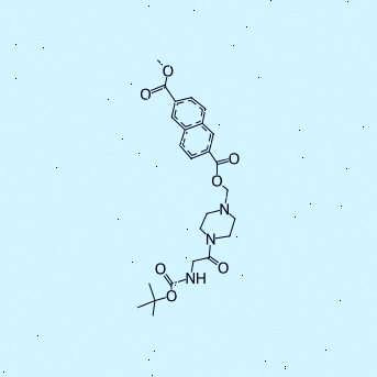 COC(=O)c1ccc2cc(C(=O)OCN3CCN(C(=O)CNC(=O)OC(C)(C)C)CC3)ccc2c1